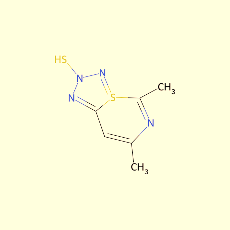 CC1=CC2=NN(S)N=S2C(C)=N1